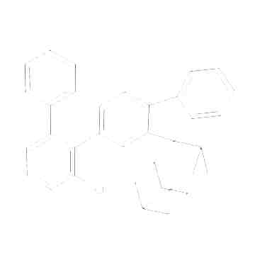 Clc1cccc(-c2ccccc2)c1-c1ccc2c(c1)C1(c3ccccc3-2)C2CC3CC(C2)CC1C3